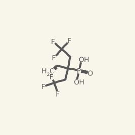 C=CC(CC(F)(F)F)(CC(F)(F)F)P(=O)(O)O